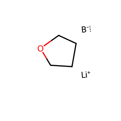 C1CCOC1.[B-].[Li+]